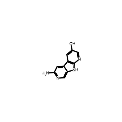 Nc1cc2c(cn1)[nH]c1ncc(O)cc12